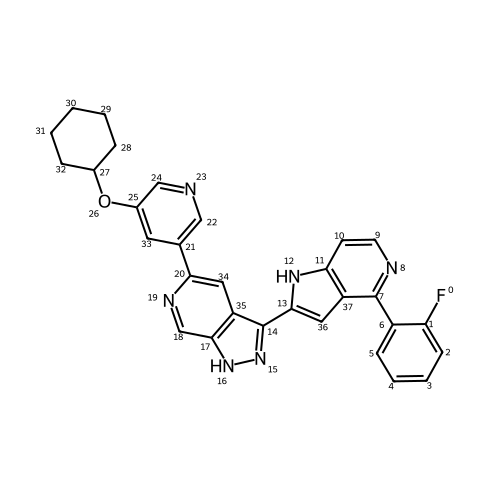 Fc1ccccc1-c1nccc2[nH]c(-c3n[nH]c4cnc(-c5cncc(OC6CCCCC6)c5)cc34)cc12